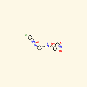 O=C(NCc1ccc(F)cc1)Nc1cccc(CCNCC(O)c2ccc(O)c3[nH]c(=O)ccc23)c1